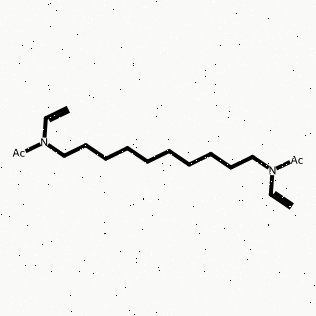 C=CN(CCCCCCCCCCN(C=C)C(C)=O)C(C)=O